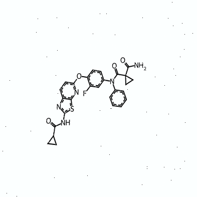 NC(=O)C1(C(=O)N(c2ccccc2)c2ccc(Oc3ccc4nc(NC(=O)C5CC5)sc4n3)c(F)c2)CC1